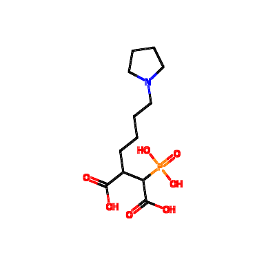 O=C(O)C(CCCCN1CCCC1)C(C(=O)O)P(=O)(O)O